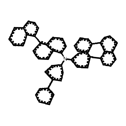 c1ccc(-c2ccc(N(c3ccc(-c4cccc5cccc(-c6ccccc6)c45)cc3)c3cccc4c(-c5cccc6ccccc56)cccc34)cc2)cc1